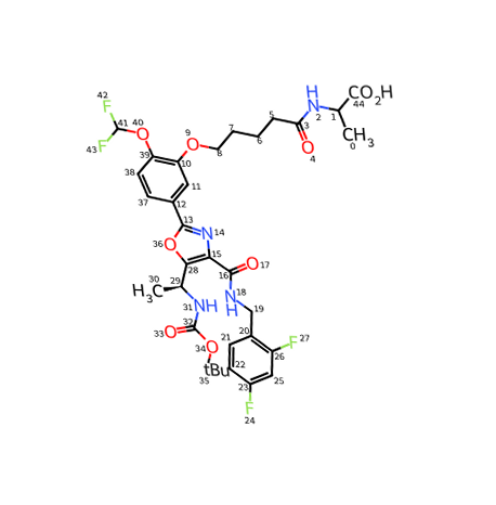 CC(NC(=O)CCCCOc1cc(-c2nc(C(=O)NCc3ccc(F)cc3F)c([C@H](C)NC(=O)OC(C)(C)C)o2)ccc1OC(F)F)C(=O)O